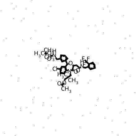 CC(=O)OCC(C)(C)CN1C(=O)C(CC(=O)NCc2ccccc2C(F)(F)F)OC(c2cccc(CNC(=O)OC(C)(C)C)c2)c2cc(Cl)ccc21